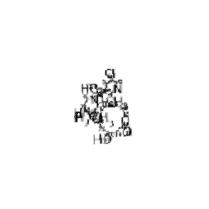 C/C(=C\c1cncc(Cl)c1)[C@@]1(C2C=CCCOC(=O)C[C@H](O)CC[C@@H]2C)[C@H](C)NCCN1C(=O)O